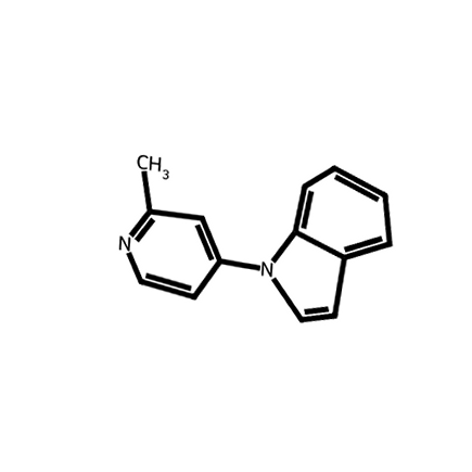 Cc1cc(-n2ccc3ccccc32)ccn1